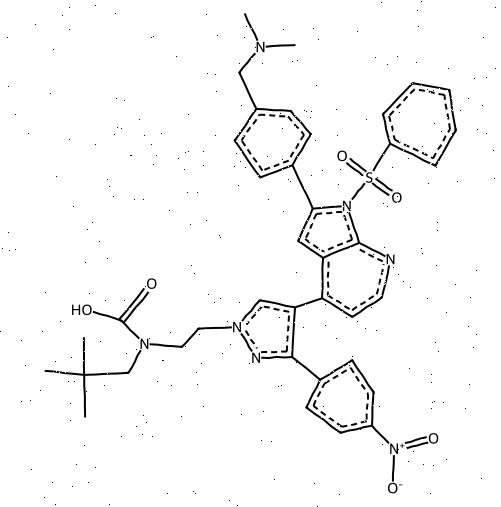 CN(C)Cc1ccc(-c2cc3c(-c4cn(CCN(CC(C)(C)C)C(=O)O)nc4-c4ccc([N+](=O)[O-])cc4)ccnc3n2S(=O)(=O)c2ccccc2)cc1